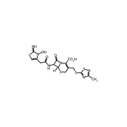 Cc1nsc(SCC2=C(C(=O)O)N3C(=O)C(NC(=O)Cc4csc(=N)n4O)[C@H]3SC2)n1